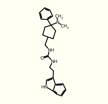 CN(C)C1(c2ccccc2)CCC(CNC(=O)NCCc2c[nH]c3ccccc23)CC1